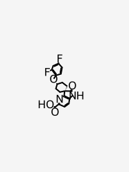 O=C(O)c1ccc2c(n1)[C@]1(CC[C@@H](Oc3ccc(F)cc3F)CC1)C(=O)N2